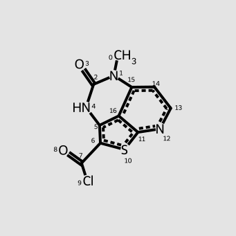 CN1C(=O)Nc2c(C(=O)Cl)sc3nccc1c23